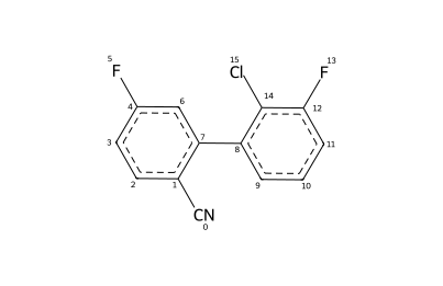 N#Cc1ccc(F)cc1-c1cccc(F)c1Cl